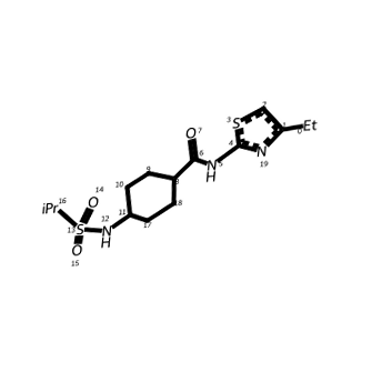 CCc1csc(NC(=O)C2CCC(NS(=O)(=O)C(C)C)CC2)n1